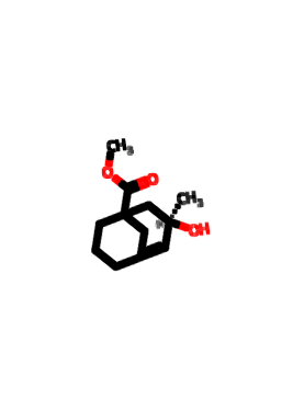 COC(=O)C12CCCC(=C[C@](C)(O)C1)C2